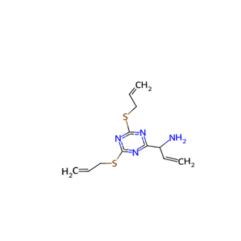 C=CCSc1nc(SCC=C)nc(C(N)C=C)n1